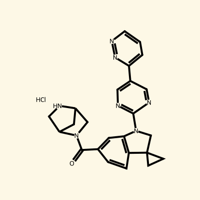 Cl.O=C(c1ccc2c(c1)N(c1ncc(-c3cccnn3)cn1)CC21CC1)N1CC2CC1CN2